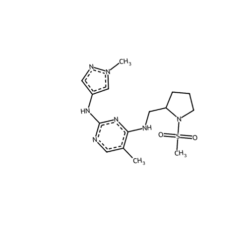 Cc1cnc(Nc2cnn(C)c2)nc1NCC1CCCN1S(C)(=O)=O